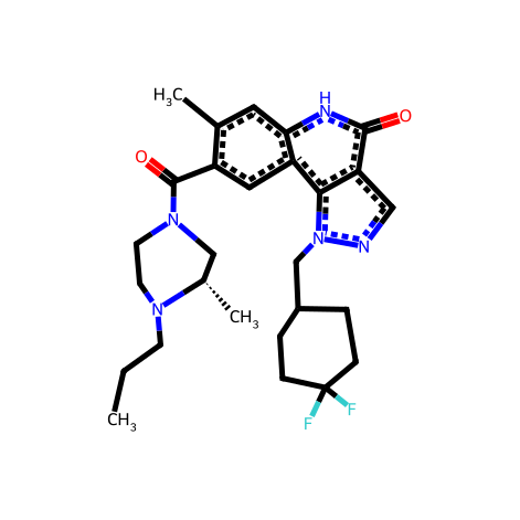 CCCN1CCN(C(=O)c2cc3c(cc2C)[nH]c(=O)c2cnn(CC4CCC(F)(F)CC4)c23)C[C@@H]1C